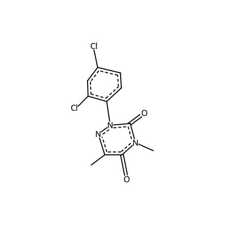 Cc1nn(-c2ccc(Cl)cc2Cl)c(=O)n(C)c1=O